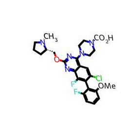 COc1cccc(F)c1-c1c(Cl)cc2c(N3CCN(C(=O)O)CC3)nc(OC[C@@H]3CCCN3C)nc2c1F